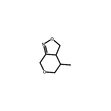 CC1COCC2=NOCC21